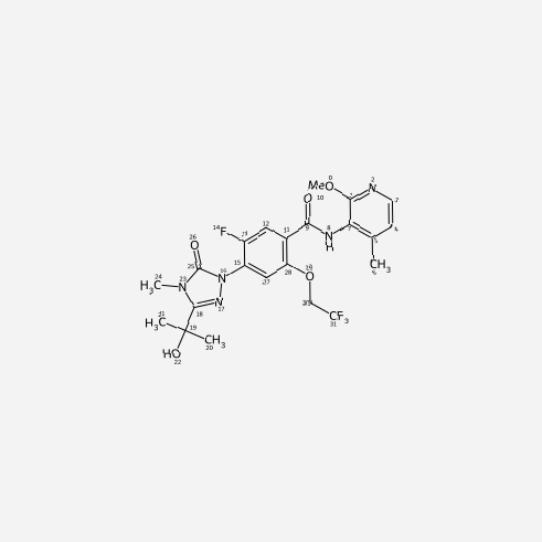 COc1nccc(C)c1NC(=O)c1cc(F)c(-n2nc(C(C)(C)O)n(C)c2=O)cc1OCC(F)(F)F